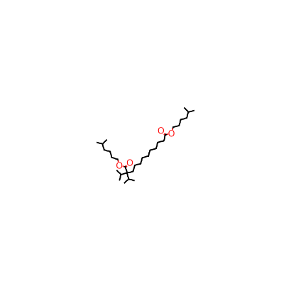 CC(C)CCCCOC(=O)CCCCCCCCCC(C(=O)OCCCCC(C)C)(C(C)C)C(C)C